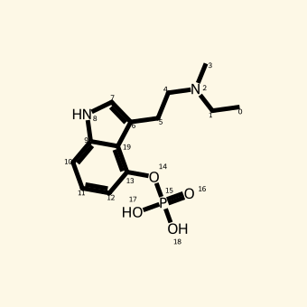 CCN(C)CCc1c[nH]c2cccc(OP(=O)(O)O)c12